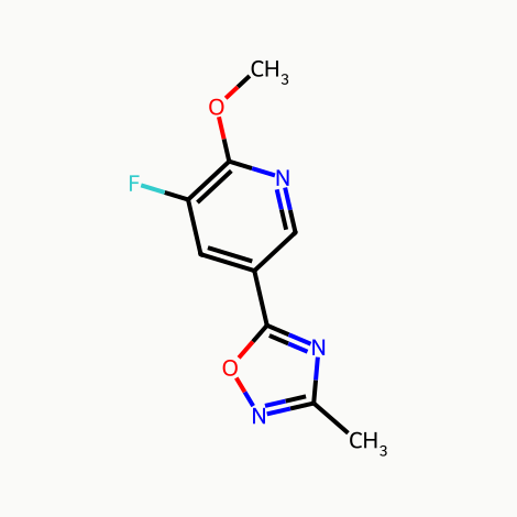 COc1ncc(-c2nc(C)no2)cc1F